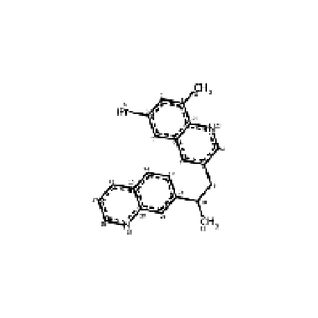 Cc1cc(C(C)C)cc2cc(CC(C)c3ccc4cccnc4c3)cnc12